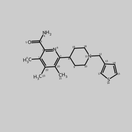 Cc1c(C(N)=O)nc(C2CCN(Cc3ccsc3)CC2)c(C)c1C